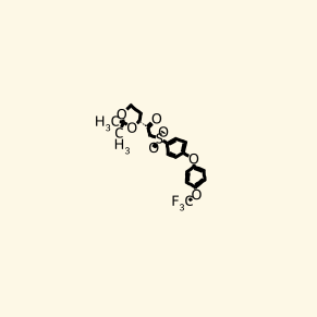 CC1(C)OCC[C@H](C(=O)CS(=O)(=O)c2ccc(Oc3ccc(OC(F)(F)F)cc3)cc2)O1